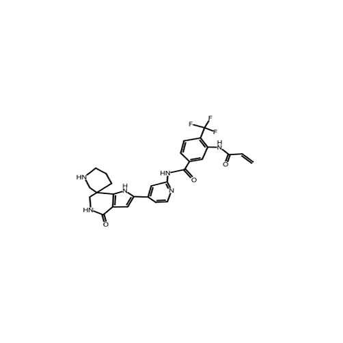 C=CC(=O)Nc1cc(C(=O)Nc2cc(-c3cc4c([nH]3)C3(CCCNC3)CNC4=O)ccn2)ccc1C(F)(F)F